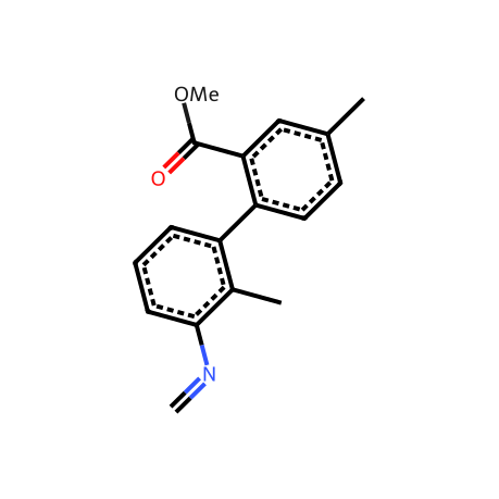 C=Nc1cccc(-c2ccc(C)cc2C(=O)OC)c1C